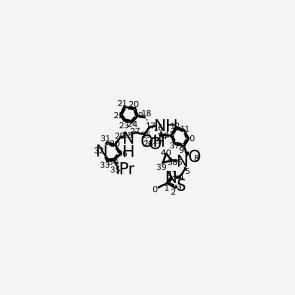 Cc1csc(CN(C(=O)c2cccc(C(=O)N[C@@H](Cc3ccccc3)[C@H](O)CNCc3cncc(C(C)C)c3)c2)C2CC2)n1